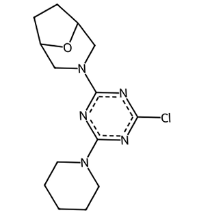 Clc1nc(N2CCCCC2)nc(N2CC3CCC(C2)O3)n1